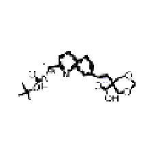 C[C@@H](NC(=O)OC(C)(C)C)c1ccc2ccc(/C=C/C3(C(=O)O)COCOC3)cc2n1